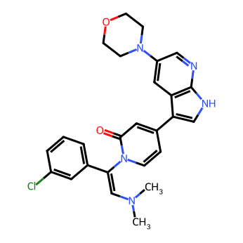 CN(C)/C=C(/c1cccc(Cl)c1)n1ccc(-c2c[nH]c3ncc(N4CCOCC4)cc23)cc1=O